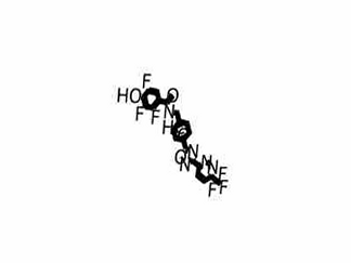 O=C(NCC12CCC(c3nc(-c4ccc(C(F)(F)F)nn4)no3)(CC1)CC2)c1cc(F)c(O)c(F)c1F